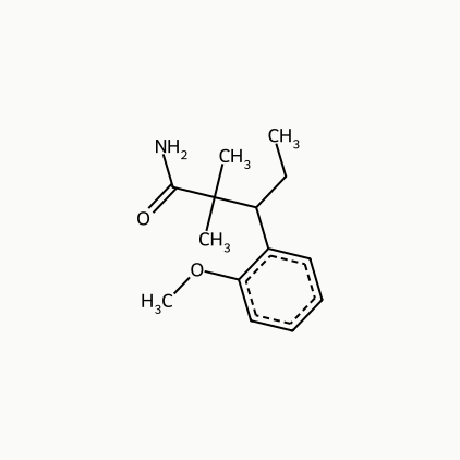 CCC(c1ccccc1OC)C(C)(C)C(N)=O